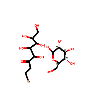 O=C(CCBr)C(O)C(O)C(O)C(O)CO.OC[C@H]1OC(O)[C@H](O)[C@@H](O)[C@@H]1O